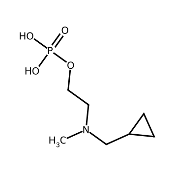 CN(CCOP(=O)(O)O)CC1CC1